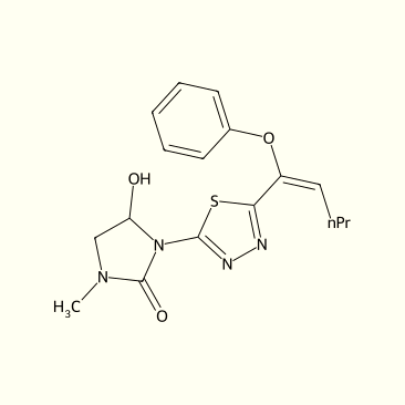 CCCC=C(Oc1ccccc1)c1nnc(N2C(=O)N(C)CC2O)s1